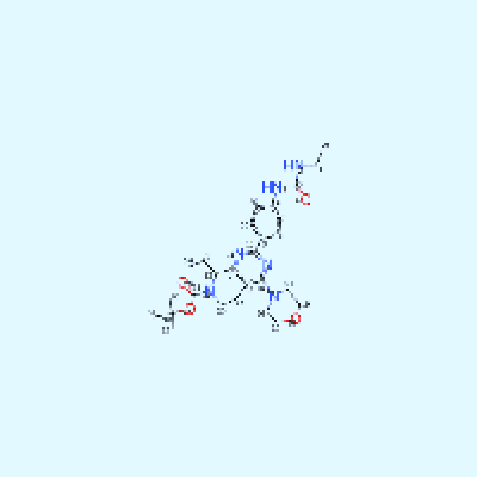 CCNC(=O)Nc1ccc(-c2nc3c(c(N4CCOCC4)n2)CCN(C(=O)OC(C)(C)C)C3CC)cc1